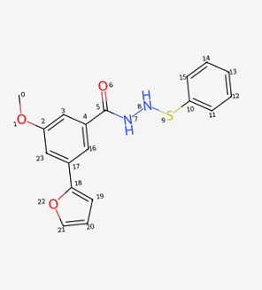 COc1cc(C(=O)NNSc2ccccc2)cc(-c2ccco2)c1